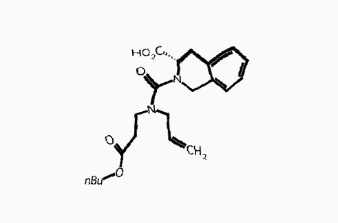 C=CCN(CCC(=O)OCCCC)C(=O)N1Cc2ccccc2C[C@H]1C(=O)O